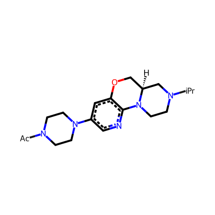 CC(=O)N1CCN(c2cnc3c(c2)OC[C@H]2CN(C(C)C)CCN32)CC1